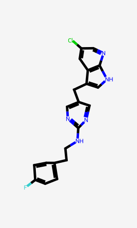 Fc1ccc(CCNc2ncc(Cc3c[nH]c4ncc(Cl)cc34)cn2)cc1